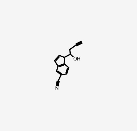 C#CCC(O)C1C=Cc2cc(C#N)ccc21